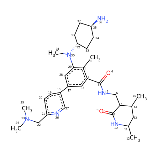 Cc1c(C(=O)NCC2C(=O)NC(C)CC2C)cc(-c2ccc(CN(C)C)nc2)cc1N(C)[C@H]1CC[C@H](N)CC1